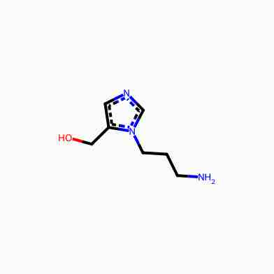 NCCCn1cncc1CO